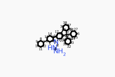 NNCn1c2cc(-c3ccccc3)ccc2c2cc3c(cc21)C(c1ccccc1)(c1ccccc1)c1ccccc1-3